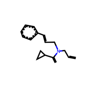 C=CCN(C/C=C/c1ccccc1)C(=C)C1CC1